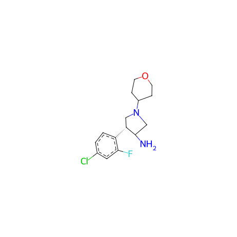 NC1CN(C2CCOCC2)C[C@H]1c1ccc(Cl)cc1F